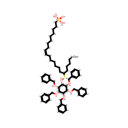 CCCCCCCCCCCCCCC(CCCCCC/C=C\CCCCCCCCP(=O)(O)O)SO[C@@H]1[C@@H](OCc2ccccc2)[C@H](OCc2ccccc2)[C@@H](OCc2ccccc2)[C@H](OCc2ccccc2)[C@@H]1OCc1ccccc1